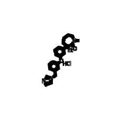 CCC1(c2cccc(Oc3cccc(Cn4ccnc4)c3)c2)CCCCN(C)C1=O.Cl